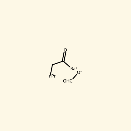 CCCC[C](=O)[Ba+].O=C[O-]